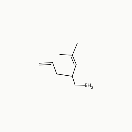 BCC(C=C(C)C)CC=C